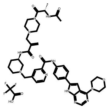 C=C(CN1CCN(C(=O)[C@H](C)NC(C)=O)CC1)C(=O)N[C@@H]1CCCN(Cc2ccnc(C(=O)Nc3ccc(-c4cc5c(N6CCOCC6)ncnc5[nH]4)cc3)c2)C1.O=C(O)C(F)(F)F